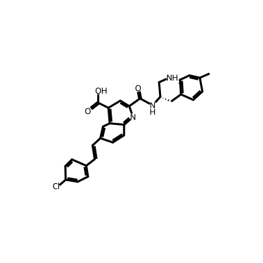 Cc1ccc(C[C@@H](CN)NC(=O)c2cc(C(=O)O)c3cc(/C=C/c4ccc(Cl)cc4)ccc3n2)cc1